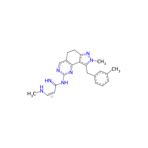 CN/C=C\C(=N)Nc1ncc2c(n1)-c1c(nn(C)c1Cc1cccc(C)c1)CC2